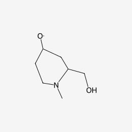 CN1CCC([O])CC1CO